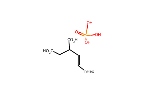 CCCCCCC=CC(CC(=O)O)C(=O)O.O=P(O)(O)O